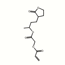 C=CC(=O)OCC(=O)OC(C)CCC1CCOC1=O